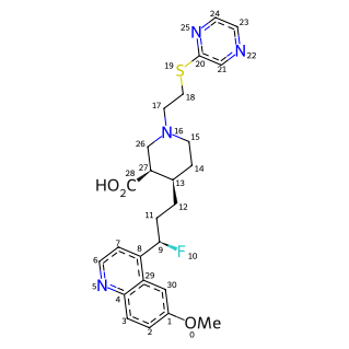 COc1ccc2nccc([C@H](F)CC[C@@H]3CCN(CCSc4cnccn4)C[C@@H]3C(=O)O)c2c1